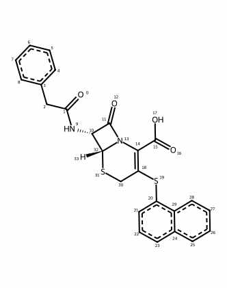 O=C(Cc1ccccc1)N[C@@H]1C(=O)N2C(C(=O)O)=C(Sc3cccc4ccccc34)CS[C@H]12